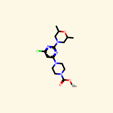 CC1CN(c2nc(Cl)cc(N3CCN(C(=O)OC(C)(C)C)CC3)n2)CC(C)O1